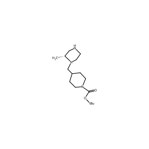 C[C@@H]1CNCCN1CC1CCN(C(=O)OC(C)(C)C)CC1